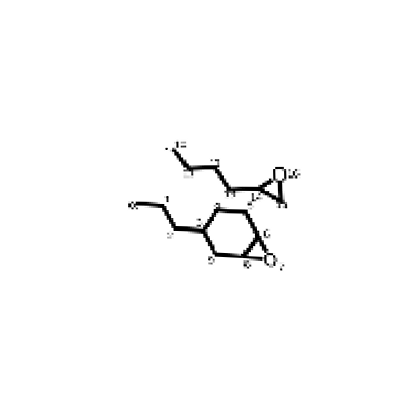 [CH2]CCC1CCC2OC2C1.[CH2]CCCC1CO1